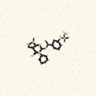 CC(Sc1nc2c(cnn2C)c(=O)n1-c1ccccc1)c1cccc(O[Si](C)(C)C(C)(C)C)c1